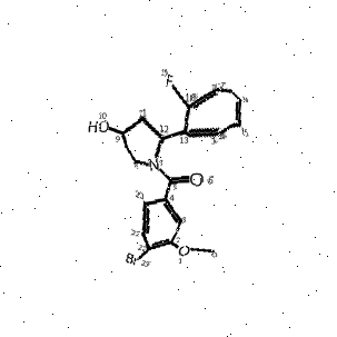 COc1cc(C(=O)N2CC(O)CC2c2ccccc2F)ccc1Br